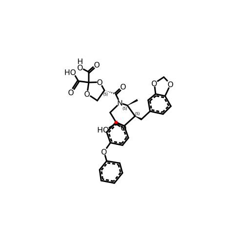 C[C@@H]([C@@H](Cc1ccc2c(c1)OCO2)c1ccc(Oc2ccccc2)cc1)N(CC(=O)O)C(=O)[C@@H]1COC(C(=O)O)(C(=O)O)O1